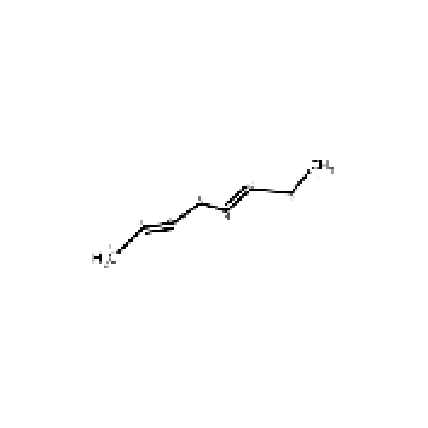 [CH2]/C=C/C/C=C/C[CH2]